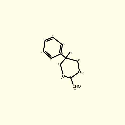 CC1(c2ccccc2)COC(C=O)OC1